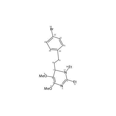 CCC1=NC(OC)=C(OC)C(CCc2ccc(Br)cc2)N1CC